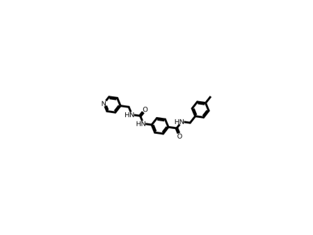 Cc1ccc(CNC(=O)c2ccc(NC(=O)NCc3ccncc3)cc2)cc1